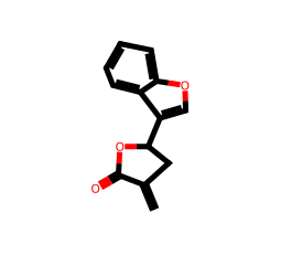 C=C1CC(c2coc3ccccc23)OC1=O